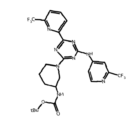 CC(C)(C)OC(=O)NC1CCCN(c2nc(Nc3ccnc(C(F)(F)F)c3)nc(-c3cccc(C(F)(F)F)n3)n2)C1